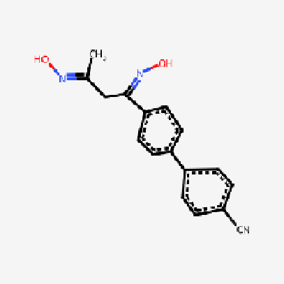 C/C(C/C(=N/O)c1ccc(-c2ccc(C#N)cc2)cc1)=N\O